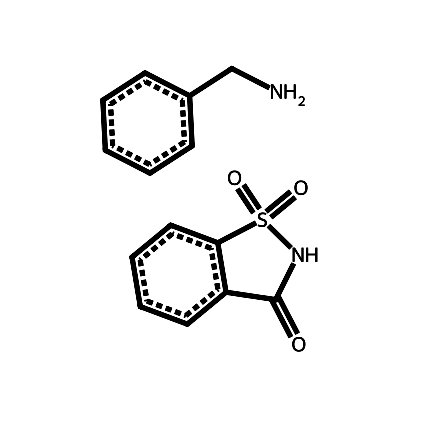 NCc1ccccc1.O=C1NS(=O)(=O)c2ccccc21